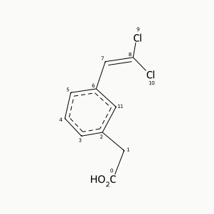 O=C(O)Cc1cccc(C=C(Cl)Cl)c1